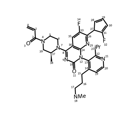 C=CC(=O)N1CCN(c2nc(=O)n(-c3c(CCCNC)ccnc3C(C)C)c3nc(C4C=CC=C4F)c(F)cc23)[C@@H](C)C1